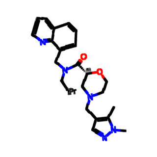 Cc1c(CN2CCO[C@@H](C(=O)N(Cc3cccc4cccnc34)CC(C)C)C2)cnn1C